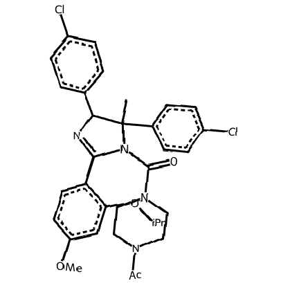 COc1ccc(C2=NC(c3ccc(Cl)cc3)C(C)(c3ccc(Cl)cc3)N2C(=O)N2CCN(C(C)=O)CC2)c(OC(C)C)c1